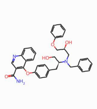 NC(=O)c1cnc2ccccc2c1Oc1ccc(C[C@@H](CO)N(Cc2ccccc2)C[C@H](O)COc2ccccc2)cc1